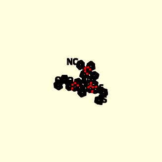 N#Cc1ccc(N(c2ccccc2)c2ccc3c(c2)N(c2c(-c4ccccc4)cccc2-c2ccccc2)c2cc(-c4ccc5c(c4)sc4ccc6sc7ccccc7c6c45)cc4c2B3c2ccc(-c3cccc5c3oc3ccc6oc7ccccc7c6c35)cc2N4c2c(-c3ccccc3)cccc2-c2ccccc2)cc1